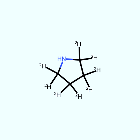 [2H]C1([2H])NC([2H])([2H])C([2H])([2H])C1([2H])[2H]